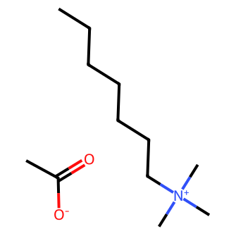 CC(=O)[O-].CCCCCCC[N+](C)(C)C